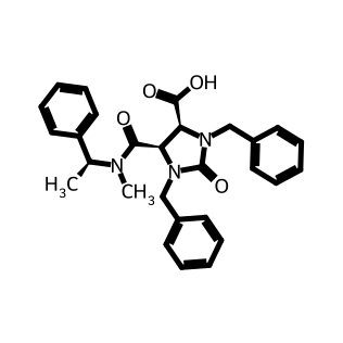 C[C@@H](c1ccccc1)N(C)C(=O)[C@H]1[C@@H](C(=O)O)N(Cc2ccccc2)C(=O)N1Cc1ccccc1